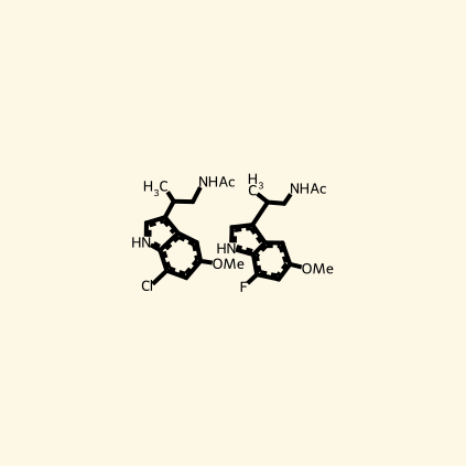 COc1cc(Cl)c2[nH]cc(C(C)CNC(C)=O)c2c1.COc1cc(F)c2[nH]cc(C(C)CNC(C)=O)c2c1